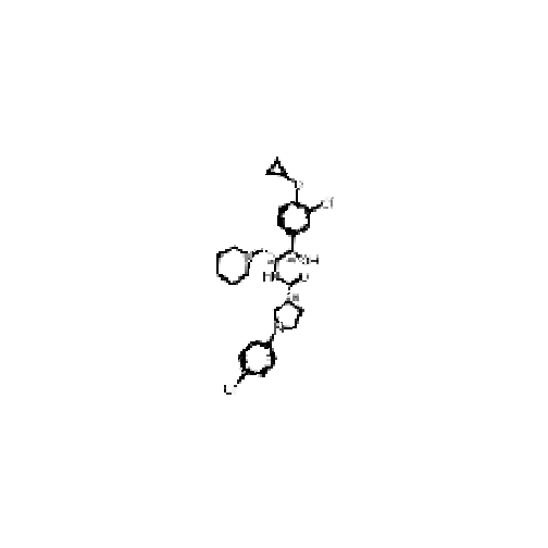 O=C(N[C@H](CN1CCCCC1)[C@H](O)c1ccc(OC2CC2)c(Cl)c1)[C@@H]1CCN(c2ccc(Cl)cc2)C1